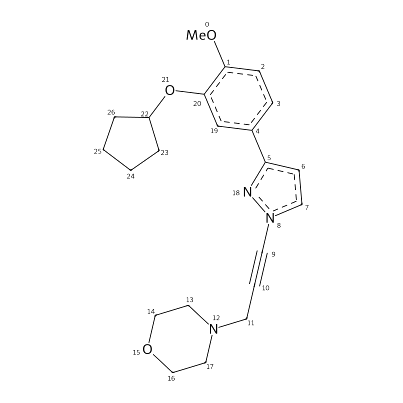 COc1ccc(-c2ccn(C#CCN3CCOCC3)n2)cc1OC1CCCC1